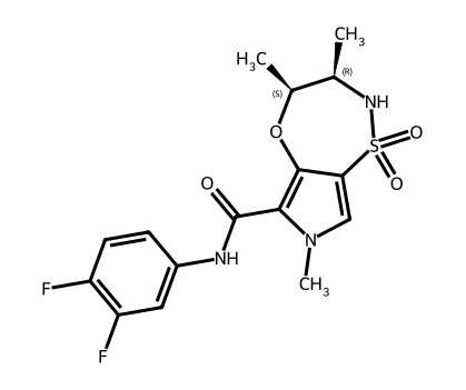 C[C@@H]1Oc2c(cn(C)c2C(=O)Nc2ccc(F)c(F)c2)S(=O)(=O)N[C@@H]1C